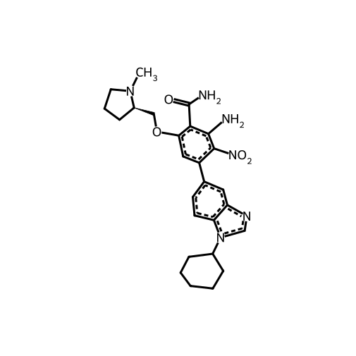 CN1CCC[C@@H]1COc1cc(-c2ccc3c(c2)ncn3C2CCCCC2)c([N+](=O)[O-])c(N)c1C(N)=O